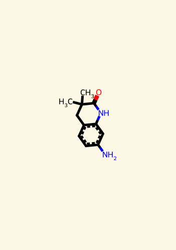 CC1(C)Cc2ccc(N)cc2NC1=O